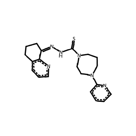 S=C(N/N=C1/CCCc2cccnc21)N1CCCN(c2ccccn2)CC1